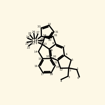 CCC1(CC)Cc2cc3c(cc2C1)[C](Cc1ccccc1)([Hf]([CH3])([CH3])([CH3])([CH3])([CH3])([CH3])([CH3])[CH]1C=CC=C1)C=C3